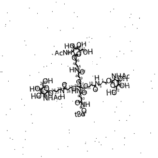 CC(=O)NC1[C@H](OCCCNC(=O)CCOCC(COCCC(=O)NCCCO[C@@H]2OC(CO)[C@H](O)[C@H](O)C2NC(C)=O)(COCCC(=O)NCCCO[C@@H]2OC(CO)[C@H](O)[C@H](O)C2NC(C)=O)NC(=O)CCC(=O)NCOC(C)(C)C)OC(CO)[C@H](O)[C@@H]1O